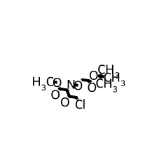 COC(=O)C(=NOCC(=O)OC(C)(C)C)C(=O)CCl